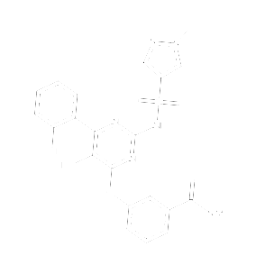 CNC(=O)c1cccc(Oc2nc(NS(=O)(=O)c3cnn(C)c3)nc(-c3ccccc3C)c2C)c1